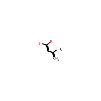 C=C(C)C=C(Br)Br